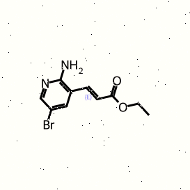 CCOC(=O)/C=C/c1cc(Br)cnc1N